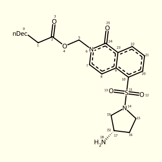 CCCCCCCCCCCC(=O)OCn1ccc2c(S(=O)(=O)N3CC[C@H](N)C3)cccc2c1=O